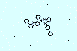 c1ccc(-c2ccc(-c3nc(-n4c5ccccc5c5c6sc7c(-c8ccccc8)cccc7c6ccc54)nc4ccccc34)cc2)cc1